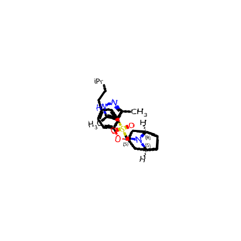 Cc1n[nH]c(C)c1S(=O)(=O)CN1[C@@H]2CC[C@H]1C[C@H](Oc1ccc(CCC(C)C)cc1)C2